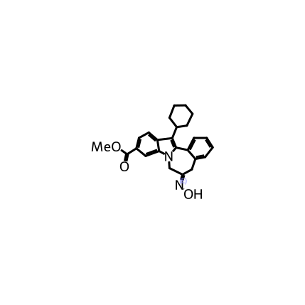 COC(=O)c1ccc2c(C3CCCCC3)c3n(c2c1)C/C(=N/O)Cc1ccccc1-3